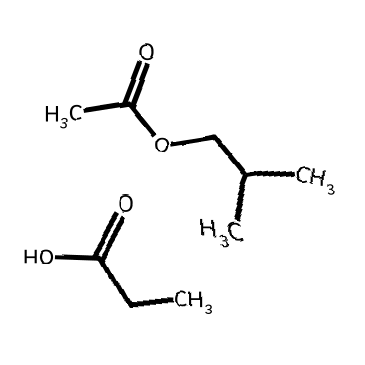 CC(=O)OCC(C)C.CCC(=O)O